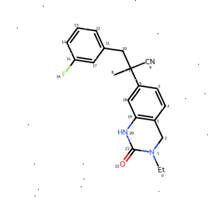 CCN1Cc2ccc(C(C)(C#N)Cc3cccc(F)c3)cc2NC1=O